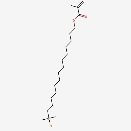 C=C(C)C(=O)OCCCCCCCCCCCCCC[Si](C)(C)Br